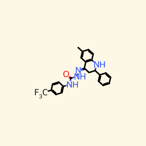 Cc1ccc2c(c1)C(=NNC(=O)Nc1ccc(C(F)(F)F)cc1)CC(c1ccccc1)N2